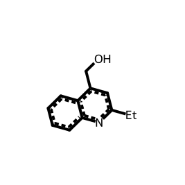 CCc1cc(CO)c2ccccc2n1